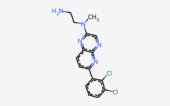 CN(CCN)c1cnc2nc(-c3cccc(Cl)c3Cl)ccc2n1